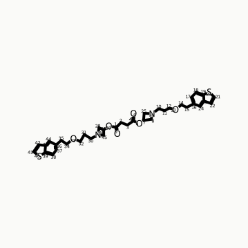 O=C(CCC(=O)OC1CN(CCCOCCc2ccc3sccc3c2)C1)OC1CN(CCCOCCc2ccc3sccc3c2)C1